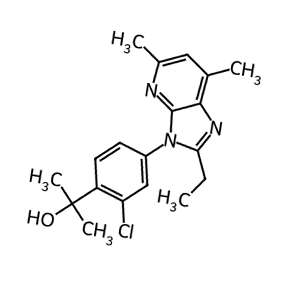 CCc1nc2c(C)cc(C)nc2n1-c1ccc(C(C)(C)O)c(Cl)c1